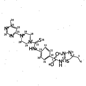 CCc1nnc(NS(=O)(=O)c2ccc(NC(=S)N3CCN(c4cc(C)ncn4)CC3)cc2)s1